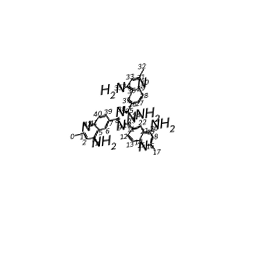 Cc1cc(N)c2cc(C3=NC(c4ccc5nc(C)cc(N)c5c4)N(N)C(c4ccc5nc(C)cc(N)c5c4)=N3)ccc2n1